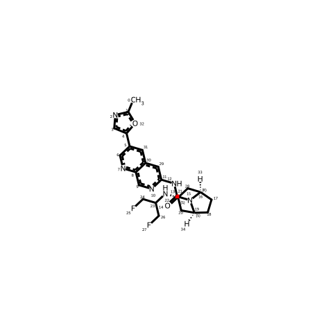 Cc1ncc(-c2cnc3cnc(NC(=O)N4[C@@H]5CC[C@H]4C[C@H](NC(CF)CF)C5)cc3c2)o1